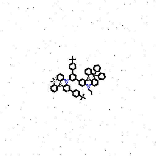 CCCN1c2ccc(-c3cc(-c4ccc(C(C)(C)C)cc4)cc(N4c5cc(-c6ccc(C(C)(C)C)cc6)ccc5B5c6ccccc6[Si](C)(C)c6cccc4c65)c3)cc2B2c3ccccc3[Si](c3ccccc3)(c3ccccc3)c3cccc1c32